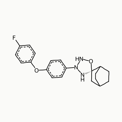 Fc1ccc(Oc2ccc(N3NO[C@@]4(CC5CCC4CC5)N3)cc2)cc1